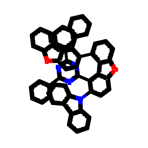 c1ccc(-c2nc(-c3ccccc3)nc(-c3c(-n4c5ccccc5c5ccccc54)ccc4oc5cccc(-c6ccc7oc8ccccc8c7c6-c6ccccc6)c5c34)n2)cc1